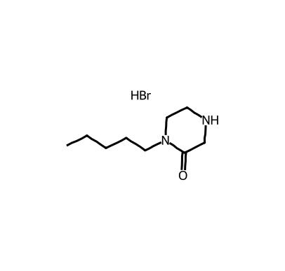 Br.CCCCCN1CCNCC1=O